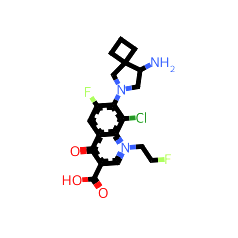 NC1CN(c2c(F)cc3c(=O)c(C(=O)O)cn(CCF)c3c2Cl)CC12CCC2